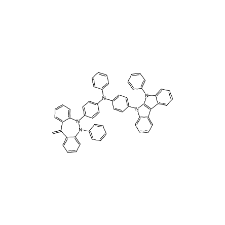 C=C1c2ccccc2N(c2ccccc2)N(c2ccc(N(c3ccccc3)c3ccc(-n4c5ccccc5c5c6ccccc6n(-c6ccccc6)c54)cc3)cc2)c2ccccc21